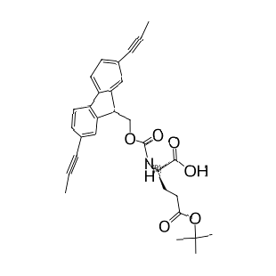 CC#Cc1ccc2c(c1)C(COC(=O)N[C@H](CCC(=O)OC(C)(C)C)C(=O)O)c1cc(C#CC)ccc1-2